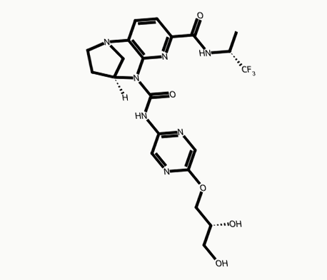 C[C@@H](NC(=O)c1ccc2c(n1)N(C(=O)Nc1cnc(OC[C@H](O)CO)cn1)[C@H]1CCN2C1)C(F)(F)F